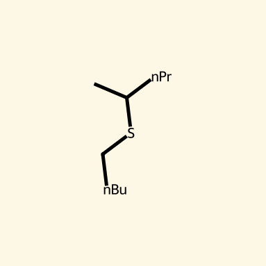 CCCCCSC(C)CCC